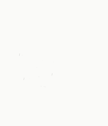 Cc1cccc(CCCCCO)c1C(=O)OC(C)(C)C